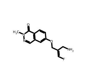 Cn1ncc2cc(OC/C(=C/F)CN)ccc2c1=O